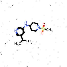 CC(C)c1cncc(NC2CCN(S(C)(=O)=O)CC2)c1